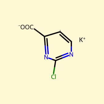 O=C([O-])c1[c]cnc(Cl)n1.[K+]